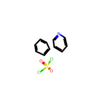 O=S(=O)(Cl)Cl.c1ccccc1.c1ccncc1